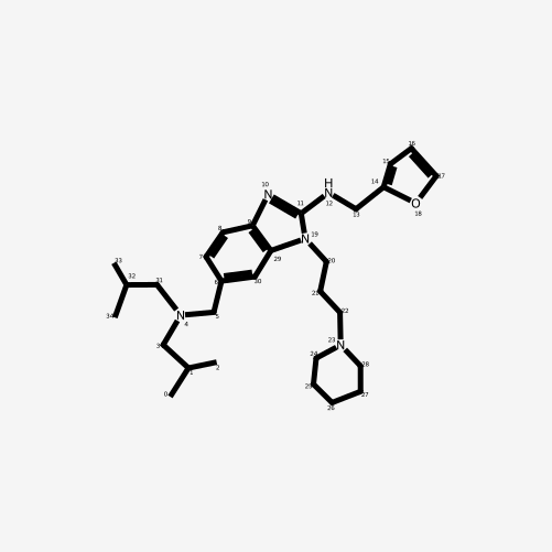 CC(C)CN(Cc1ccc2nc(NCc3ccco3)n(CCCN3CCCCC3)c2c1)CC(C)C